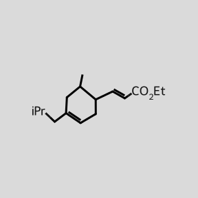 CCOC(=O)C=CC1CC=C(CC(C)C)CC1C